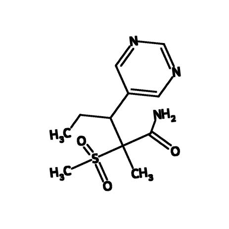 CCC(c1cncnc1)C(C)(C(N)=O)S(C)(=O)=O